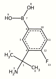 CC(C)(N)c1cc(B(O)O)ccc1F